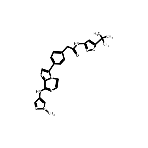 Cn1cc(Nc2nccn3c(-c4ccc(CC(=O)Nc5cc(C(C)(C)C(F)(F)F)on5)cc4)cnc23)cn1